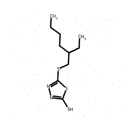 CCCCC(CC)CSc1nnc(S)s1